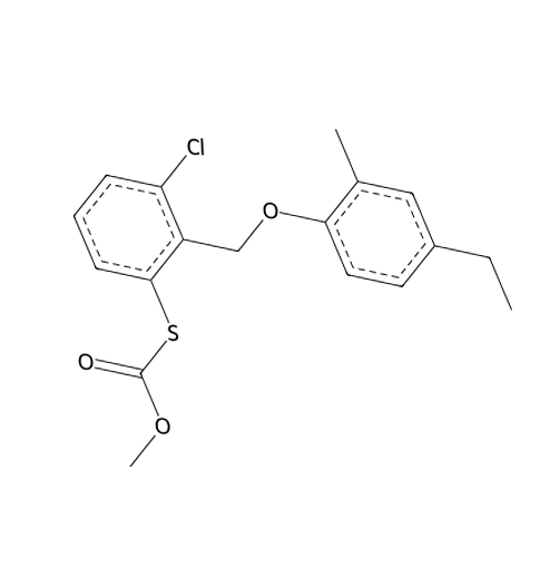 CCc1ccc(OCc2c(Cl)cccc2SC(=O)OC)c(C)c1